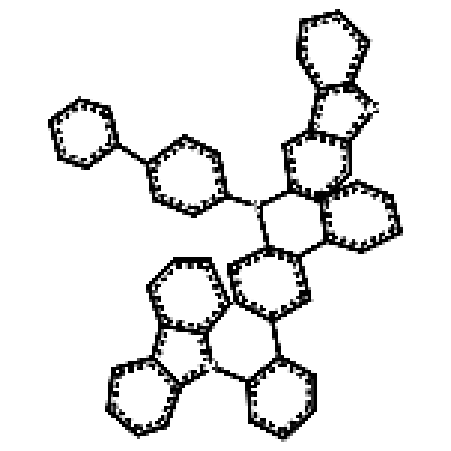 c1ccc(-c2ccc(N(c3ccc4sc5ccccc5c4c3)c3ccc(-c4ccccc4-n4c5ccccc5c5ccccc54)cc3-c3ccccc3)cc2)cc1